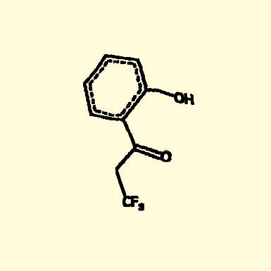 O=C(CC(F)(F)F)c1ccccc1O